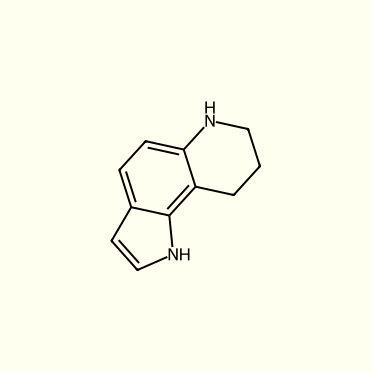 c1cc2ccc3c(c2[nH]1)CCCN3